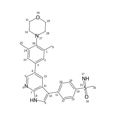 Cc1cc(-c2cnc3[nH]cc(-c4ccc(S(C)(=N)=O)cc4)c3c2)cc(C)c1N1CCOCC1